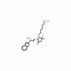 O=C(O)CCCCCC[C@@H]1[C@@H](/C=C/[C@@H](O)c2cc3ccccc3s2)C(=O)CC1(F)F